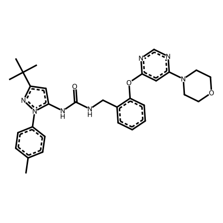 Cc1ccc(-n2nc(C(C)(C)C)cc2NC(=O)NCc2ccccc2Oc2cc(N3CCOCC3)ncn2)cc1